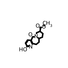 COC(=O)C1CCC2CCc3nc(O)ccc3C(=O)N2C1